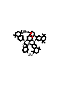 Cc1cc2c3c(c1)N(c1ccc4c(c1)C(C)(C)CCC4(C)C)c1sc4ccc(C(C)(C)C)cc4c1B3c1cc3c(cc1N2c1cc2c(cc1-c1ccc(C(C)(C)C)cc1)C(C)(C)CCC2(C)C)C(C)(C)CCC3(C)C